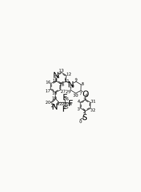 CSc1ccc(OC2CCN(c3ccnc4ccc(C5=CN=C5C(F)(F)F)cc34)CC2)cc1